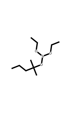 CCCC(C)(C)O[Si](OCC)OCC